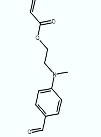 C=CC(=O)OCCN(C)c1ccc(C=O)cc1